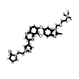 Cc1nc2ccc(Oc3ccc4ncc(-c5cnn(CCN6CCCC6=O)c5)nc4c3Cl)cc2n1COCC[Si](C)(C)C